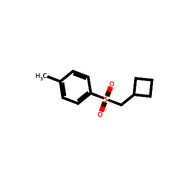 Cc1ccc(S(=O)(=O)CC2CCC2)cc1